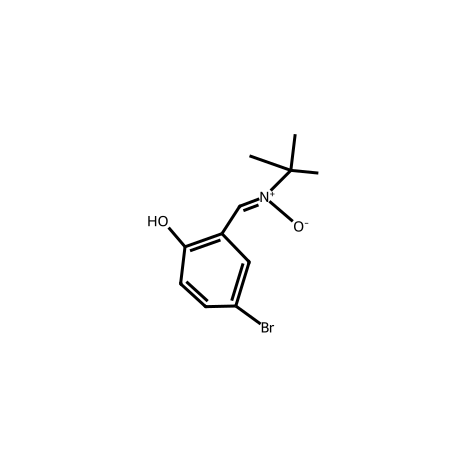 CC(C)(C)[N+]([O-])=Cc1cc(Br)ccc1O